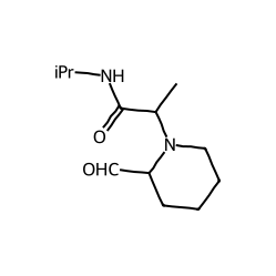 CC(C)NC(=O)C(C)N1CCCCC1C=O